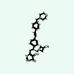 N#CC1CN(C[C@@H](Cc2nc[nH]c(=O)c2O)c2ccc(C#Cc3ccc(CN4CCOCC4)cc3)cc2)C1